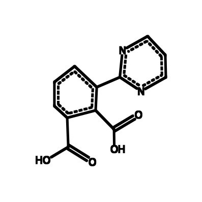 O=C(O)c1cccc(-c2ncccn2)c1C(=O)O